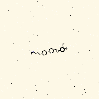 C/C=C\CCC[C@H]1CC[C@H](C2CCC(COc3ccc(F)c(F)c3)CC2)CC1